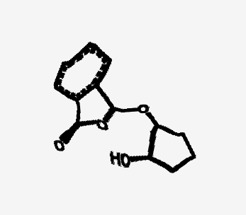 O=C1OC(OC2CCCC2O)c2ccccc21